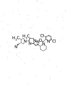 Cc1cn2nc([C@@H]3CCCCN3C(=O)c3nc(Cl)ccc3Cl)cc2nc1N1C[C@@H](C#N)[C@@H](C)C1